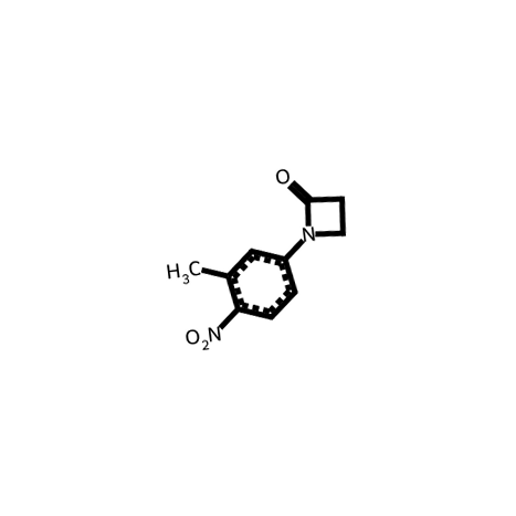 Cc1cc(N2CCC2=O)ccc1[N+](=O)[O-]